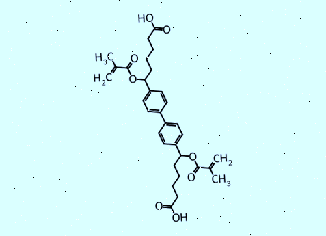 C=C(C)C(=O)OC(CCCCC(=O)O)c1ccc(-c2ccc(C(CCCCC(=O)O)OC(=O)C(=C)C)cc2)cc1